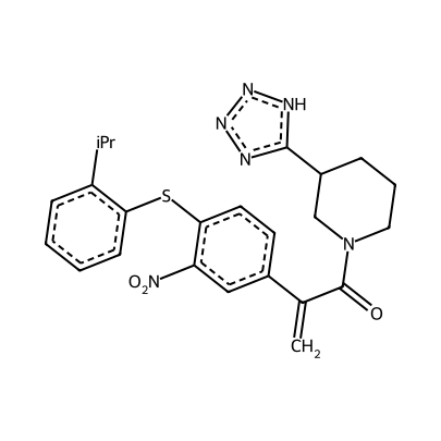 C=C(C(=O)N1CCCC(c2nnn[nH]2)C1)c1ccc(Sc2ccccc2C(C)C)c([N+](=O)[O-])c1